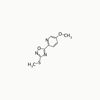 COc1ccc(-c2nc(SC)no2)nc1